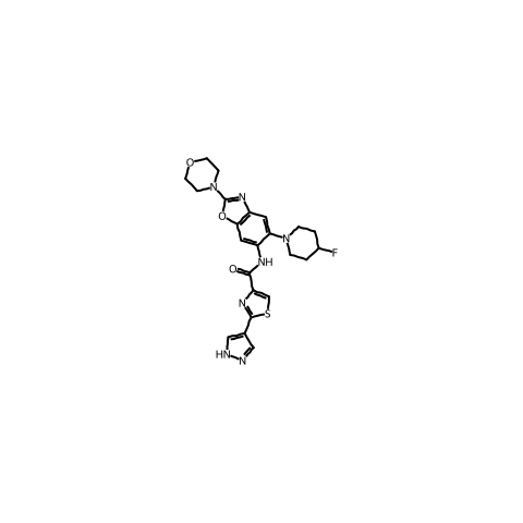 O=C(Nc1cc2oc(N3CCOCC3)nc2cc1N1CCC(F)CC1)c1csc(-c2cn[nH]c2)n1